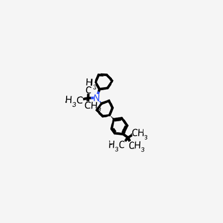 CC(C)(C)c1ccc([C@H]2CC[C@@H](N(C3CCCCC3)C(C)(C)C)CC2)cc1